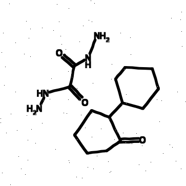 NNC(=O)C(=O)NN.O=C1CCCCC1C1CCCCC1